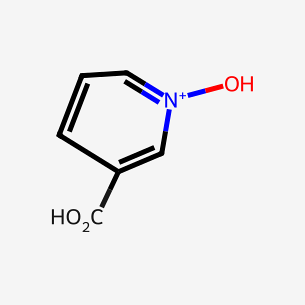 O=C(O)c1ccc[n+](O)c1